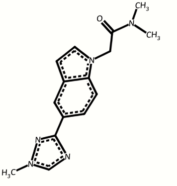 CN(C)C(=O)Cn1ccc2cc(-c3ncn(C)n3)ccc21